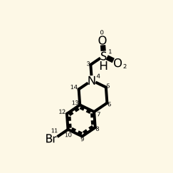 O=[SH](=O)CN1CCc2ccc(Br)cc2C1